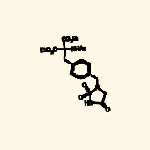 CCOC(=O)C(Cc1ccc(CN2CC(=O)NS2(=O)=O)cc1)(NC(C)=O)C(=O)OCC